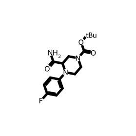 CC(C)(C)OC(=O)N1CCN(c2ccc(F)cc2)C(C(N)=O)C1